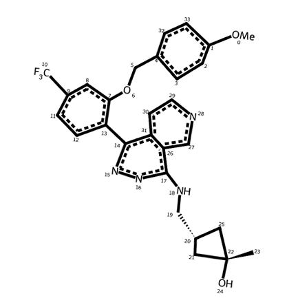 COc1ccc(COc2cc(C(F)(F)F)ccc2-c2nnc(NC[C@H]3C[C@@](C)(O)C3)c3cnccc23)cc1